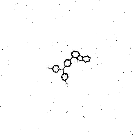 Clc1ccc(N(c2ccc(Cl)cc2)c2ccc(-c3cccc4c3[nH]c3ccccc34)cc2)cc1